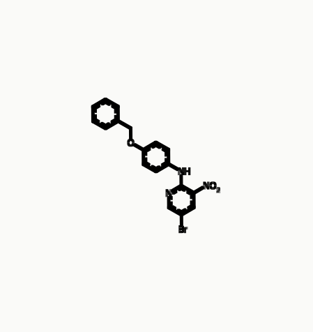 O=[N+]([O-])c1cc(Br)cnc1Nc1ccc(OCc2ccccc2)cc1